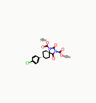 CC(C)(C)OC(=O)N1C(=O)N(C(=O)OC(C)(C)C)[C@]2(CC[C@@H](c3ccc(Cl)cc3)CC2)C1=O